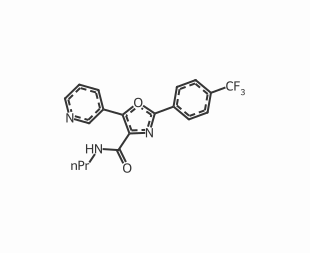 CCCNC(=O)c1nc(-c2ccc(C(F)(F)F)cc2)oc1-c1cccnc1